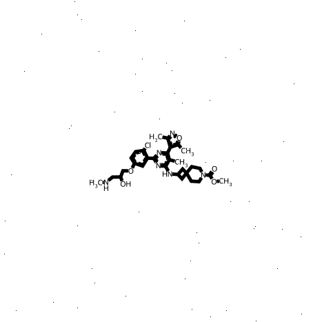 CNCC(O)COc1ccc(Cl)c(-c2nc(NC3CC4(CCN(C(=O)OC)CC4)C3)c(C)c(-c3c(C)noc3C)n2)c1